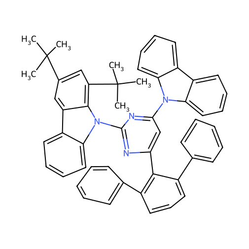 CC(C)(C)c1cc(C(C)(C)C)c2c(c1)c1ccccc1n2-c1nc(-c2c(-c3ccccc3)cccc2-c2ccccc2)cc(-n2c3ccccc3c3ccccc32)n1